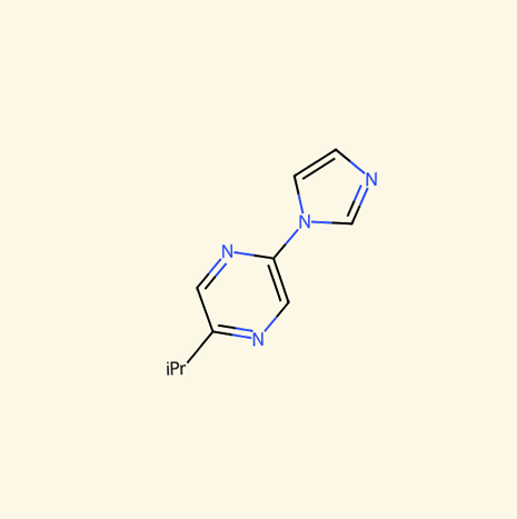 CC(C)c1cnc(-n2ccnc2)cn1